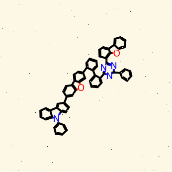 c1ccc(-c2nc(-c3ccccc3-c3ccccc3-c3ccc4c(c3)oc3cc(-c5ccc6c(c5)c5ccccc5n6-c5ccccc5)ccc34)nc(-c3cccc4c3oc3ccccc34)n2)cc1